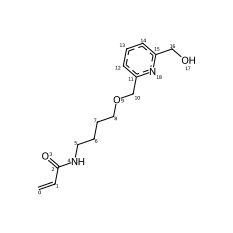 C=CC(=O)NCCCCOCc1cccc(CO)n1